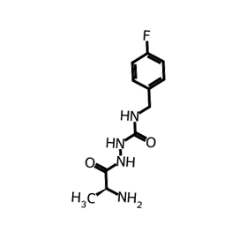 C[C@H](N)C(=O)NNC(=O)NCc1ccc(F)cc1